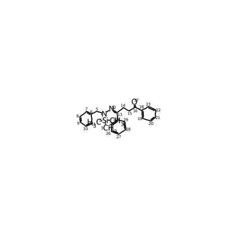 C[Si](C)(C)N(Cc1ccccc1)/N=C(/CCC(=O)c1ccccc1)c1ccccc1